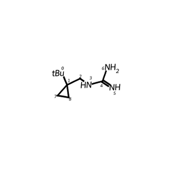 CC(C)(C)C1(CNC(=N)N)CC1